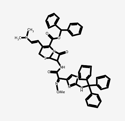 CO/N=C(/C(=O)NC1C(=O)N2C(C(=O)OC(c3ccccc3)c3ccccc3)=C(/C=C/N(C)C)CSC12)c1csc(NC(c2ccccc2)(c2ccccc2)c2ccccc2)n1